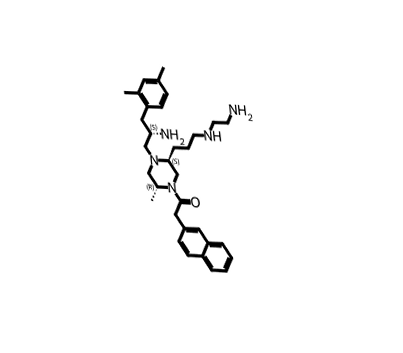 Cc1ccc(C[C@H](N)CN2C[C@@H](C)N(C(=O)Cc3ccc4ccccc4c3)C[C@@H]2CCCNCCN)c(C)c1